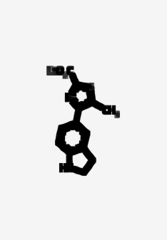 CCOC(=O)c1nc(-c2ccc3c(c2)CCN3)c(C)s1